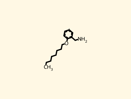 CCCCCCCCOc1cc[c]cc1CN